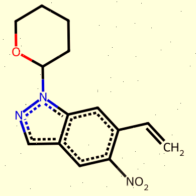 C=Cc1cc2c(cnn2C2CCCCO2)cc1[N+](=O)[O-]